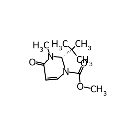 COC(=O)N1C=CC(=O)N(C)[C@@H]1C(C)(C)C